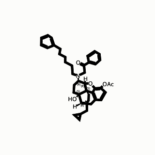 CC(=O)Oc1ccc2c3c1O[C@H]1[C@H](N(CCCCCCc4ccccc4)CC(=O)c4ccccc4)CC[C@@]4(O)[C@@H](C2)N(CC2CC2)CC[C@]314